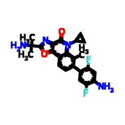 Cc1c(-c2cc(F)c(N)cc2F)ccc2c3oc(C(C)(C)N)nc3c(=O)n(C3CC3)c12